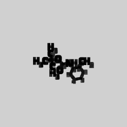 C=C1CCCC[C@@H]1NC(=O)OC(C)(C)C